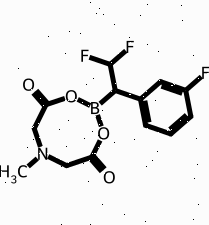 CN1CC(=O)OB(C(c2cccc(F)c2)C(F)F)OC(=O)C1